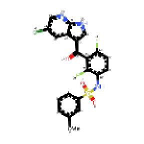 COc1cccc(S(=O)(=O)Nc2ccc(F)c(C(=O)c3c[nH]c4ncc(Cl)cc34)c2F)c1